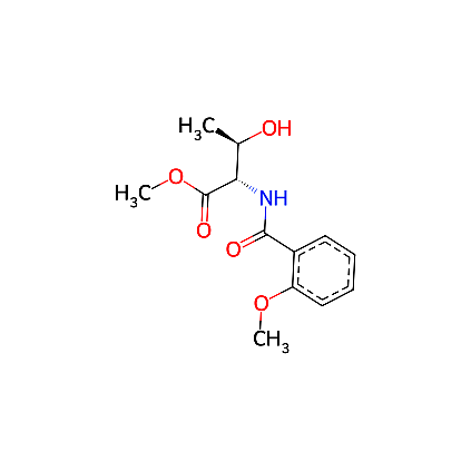 COC(=O)[C@@H](NC(=O)c1ccccc1OC)[C@@H](C)O